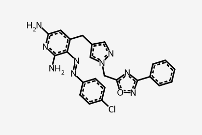 Nc1cc(Cc2cnn(Cc3nc(-c4ccccc4)no3)c2)c(/N=N/c2ccc(Cl)cc2)c(N)n1